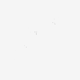 O=C(NCCC1CCC(=O)N1Cc1ccccc1)c1ccc(-c2cccc(F)c2)nc1